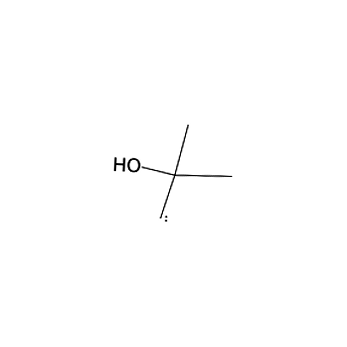 [CH]C(C)(C)O